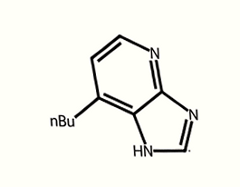 CCCCc1ccnc2n[c][nH]c12